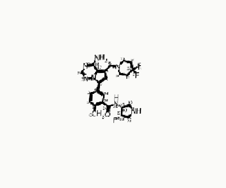 Cc1ccc(-c2cc(CN3CCC(F)(F)CC3)c3c(N)ncnn23)cc1C(=O)N[C@@H]1CNC[C@@H]1F